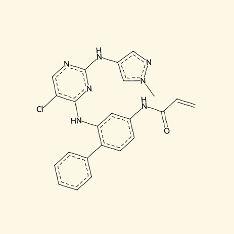 C=CC(=O)Nc1ccc(-c2ccccc2)c(Nc2nc(Nc3cnn(C)c3)ncc2Cl)c1